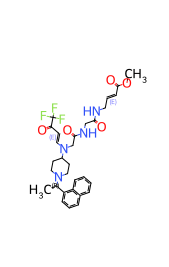 COC(=O)/C=C/CNC(=O)CNC(=O)CN(/C=C/C(=O)C(F)(F)F)C1CCN([C@H](C)c2cccc3ccccc23)CC1